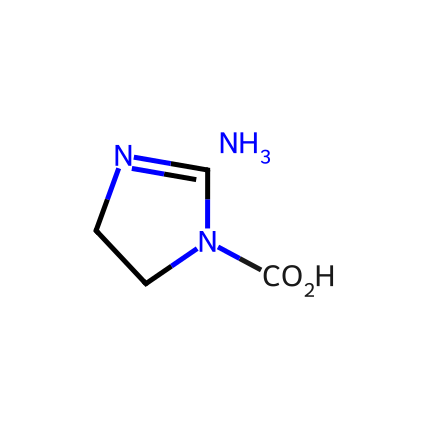 N.O=C(O)N1C=NCC1